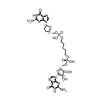 Nc1nc2c(ncn2[C@@H]2O[C@H](COP(=O)(O)OCCSCCOP(=O)(O)OC[C@@H]3CC[C@H](n4cnc5c(=O)[nH]c(N)nc54)O3)[C@@H](O)[C@H]2O)c(=O)[nH]1